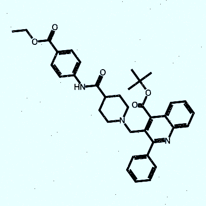 CCOC(=O)c1ccc(NC(=O)C2CCN(Cc3c(-c4ccccc4)nc4ccccc4c3C(=O)OC(C)(C)C)CC2)cc1